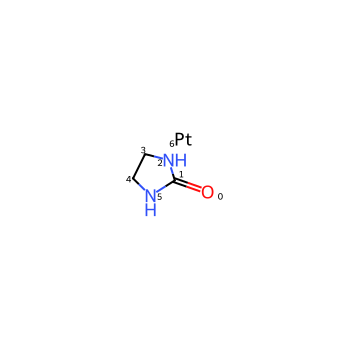 O=C1NCCN1.[Pt]